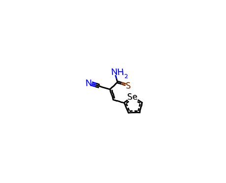 N#CC(=Cc1ccc[se]1)C(N)=S